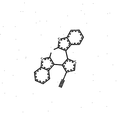 C#Cc1csc(-c2c(C)sc3ccccc23)c1-c1c(C)sc2ccccc12